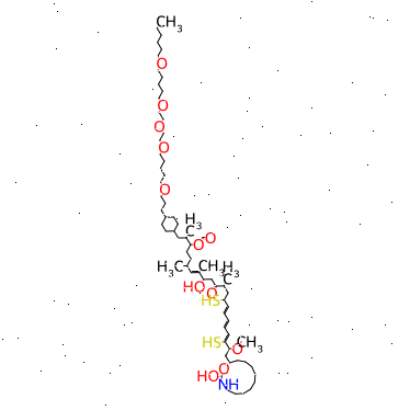 CCCCCCOCCCCCOCCOCCOCCCCCOCCCC1CCC(C[C@@H](C)C(CCC(C)/C=C(\C)C(O)CC(=O)C(C)CC(S)/C=C/C=C/C=C(\S)[C@H](CC2CCCCCCCCCN[C@H](O)O2)OC)OC=O)CC1